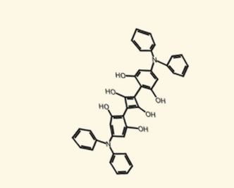 OC1=C(c2c(O)cc(N(c3ccccc3)c3ccccc3)cc2O)C(O)=C1c1c(O)cc(N(c2ccccc2)c2ccccc2)cc1O